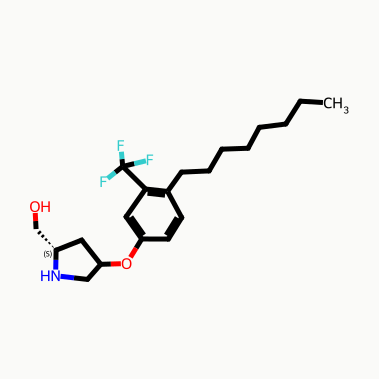 CCCCCCCCc1ccc(OC2CN[C@H](CO)C2)cc1C(F)(F)F